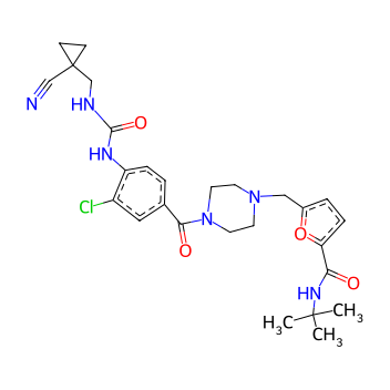 CC(C)(C)NC(=O)c1ccc(CN2CCN(C(=O)c3ccc(NC(=O)NCC4(C#N)CC4)c(Cl)c3)CC2)o1